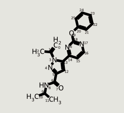 C=C(C)n1nc(C(=O)NC(C)C)cc1-c1ccnc(Oc2ccccc2)n1